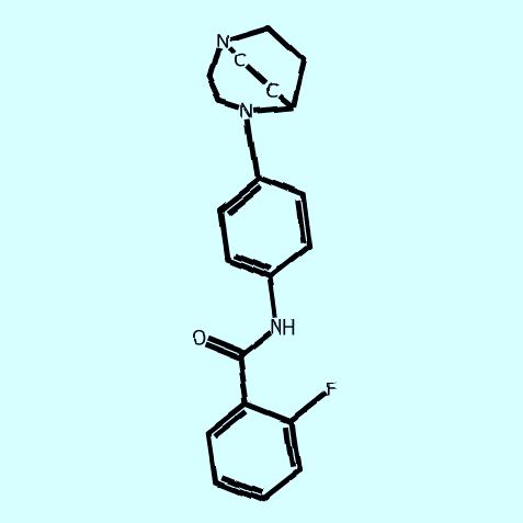 O=C(Nc1ccc(N2CCN3CCC2CC3)cc1)c1ccccc1F